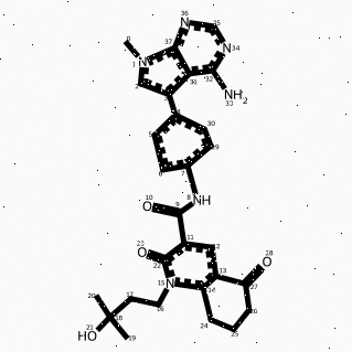 Cn1cc(-c2ccc(NC(=O)c3cc4c(n(CCC(C)(C)O)c3=O)CCCC4=O)cc2)c2c(N)ncnc21